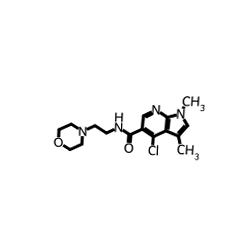 Cc1cn(C)c2ncc(C(=O)NCCN3CCOCC3)c(Cl)c12